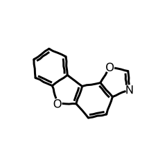 c1ccc2c(c1)oc1ccc3ncoc3c12